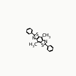 Cc1c2nc(-c3ccccc3)sc2c(C)c2nc(-c3ccccc3)sc12